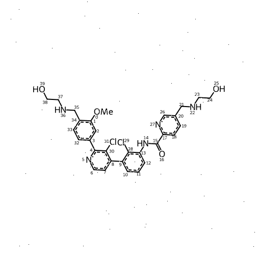 COc1cc(-c2nccc(-c3cccc(NC(=O)c4ccc(CNCCO)cn4)c3Cl)c2Cl)ccc1CNCCO